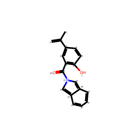 C=C(C)c1ccc(O)c(C(=O)n2cc3ccccc3c2)c1